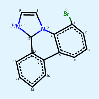 Brc1cccc2c1N1C=CNC1c1ccccc1-2